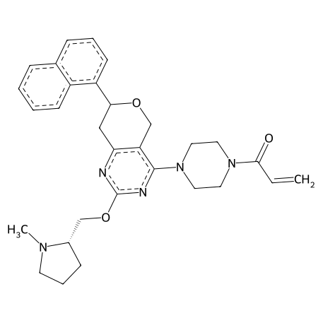 C=CC(=O)N1CCN(c2nc(OC[C@@H]3CCCN3C)nc3c2COC(c2cccc4ccccc24)C3)CC1